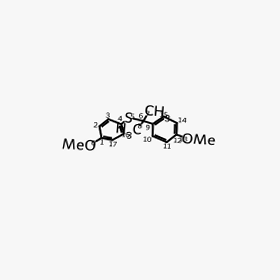 COc1ccc(SC(C)(C)c2ccc(OC)cc2)cc1